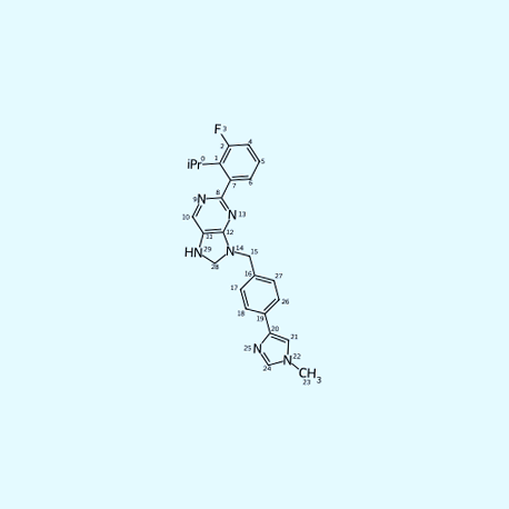 CC(C)c1c(F)cccc1-c1ncc2c(n1)N(Cc1ccc(-c3cn(C)cn3)cc1)CN2